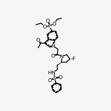 CCOP(=O)(OCC)c1ccc2c(c1)c(C(C)=O)cn2CC(=O)N1C[C@H](F)C[C@H]1CCNS(=O)(=O)c1ccccc1